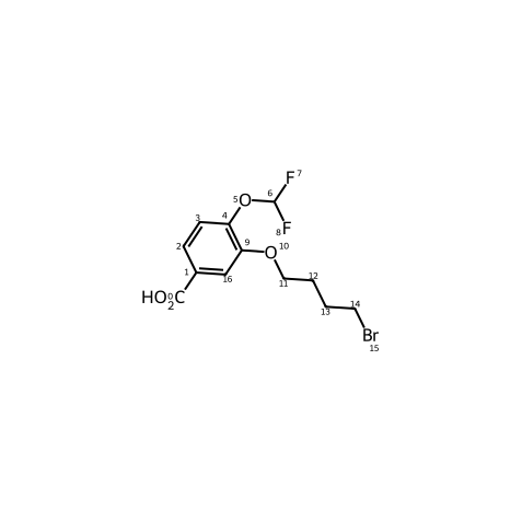 O=C(O)c1ccc(OC(F)F)c(OCCCCBr)c1